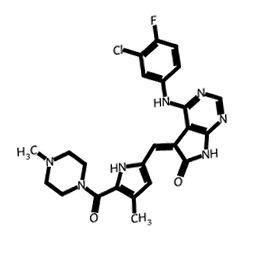 Cc1cc(/C=C2\C(=O)Nc3ncnc(Nc4ccc(F)c(Cl)c4)c32)[nH]c1C(=O)N1CCN(C)CC1